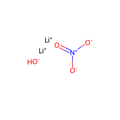 O=[N+]([O-])[O-].[Li+].[Li+].[OH-]